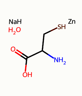 NC(CS)C(=O)O.O.[NaH].[Zn]